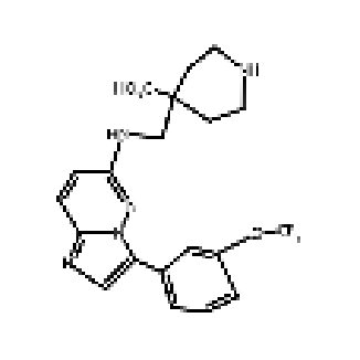 O=C(O)C1(CNc2ccc3ncc(-c4cccc(OC(F)(F)F)c4)n3n2)CCNCC1